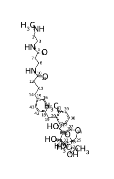 CNCCNC(=O)CCNC(=O)CCCc1ccc(Cc2cc([C@]34OC[C@](C(C)(C)O)(O3)[C@@H](O)[C@H](O)[C@H]4O)ccc2C)cc1